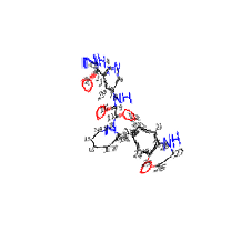 NC(=O)c1cncc(NC(=O)C(=O)N2CCCC[C@H]2c2ccc3c(c2)OCCN3)c1